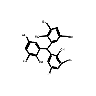 CCC(C)c1cc(C(C)(C)C)cc(C(c2cc(C(C)(C)C)cc(C(C)CC)c2O)c2cc(C(C)(C)C)cc(C(C)CC)c2O)c1O